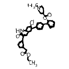 CCOC(=O)Cc1cccc(-c2cc3cc(-c4ccc(-c5ccccc5OC(=O)C5CCN(C)CC5)cc4)c(Cl)cc3[nH]c2=O)c1